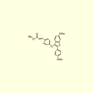 COc1ccc(-c2sc3cc(OC)ccc3c2Oc2ccc(/C=C/C(=O)OC(C)(C)C)cc2)cc1